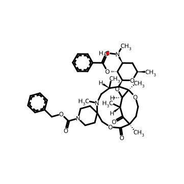 C[C@H]1CN(C)C2(CCN(C(=O)OCc3ccccc3)CC2)COC(=O)[C@]2(C)CCO[C@](C)(C1)[C@H](O[C@@H]1O[C@H](C)C[C@H](N(C)C)[C@H]1OC(=O)c1ccccc1)[C@@H](C)C2=O